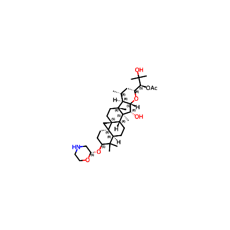 CC(=O)O[C@@H]([C@H]1C[C@@H](C)[C@H]2[C@H](O1)[C@H](O)[C@@]1(C)[C@@H]3CC[C@H]4C(C)(C)[C@@H](O[C@H]5CNCCO5)CC[C@@]45C[C@@]35CC[C@]21C)C(C)(C)O